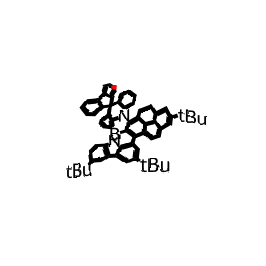 CC(C)(C)c1cc2ccc3c4c5c(c6ccc(c1)c2c36)N1c2ccccc2C2(c3ccccc3-c3ccccc32)c2cccc(c21)B5n1c2ccc(C(C)(C)C)cc2c2cc(C(C)(C)C)cc-4c21